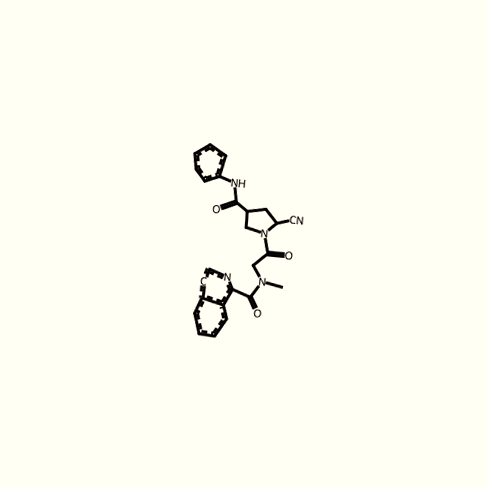 CN(CC(=O)N1CC(C(=O)Nc2ccccc2)CC1C#N)C(=O)c1nccc2ccccc12